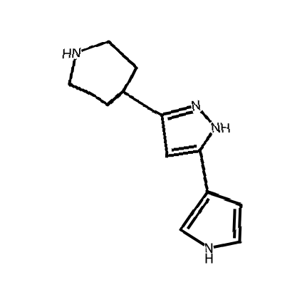 c1cc(-c2cc(C3CCNCC3)n[nH]2)c[nH]1